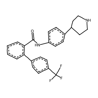 O=C(Nc1ccc(C2CCNCC2)cc1)c1ccccc1-c1ccc(C(F)(F)F)cc1